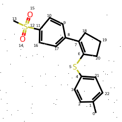 Cc1ccc(SC2=C(c3ccc(S(C)(=O)=O)cc3)CCC2)cc1